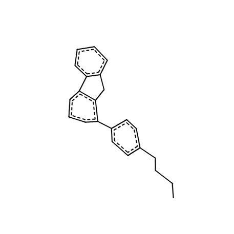 CCCCc1ccc(-c2cccc3c2Cc2ccccc2-3)cc1